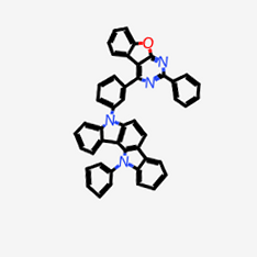 c1ccc(-c2nc(-c3cccc(-n4c5ccccc5c5c4ccc4c6ccccc6n(-c6ccccc6)c45)c3)c3c(n2)oc2ccccc23)cc1